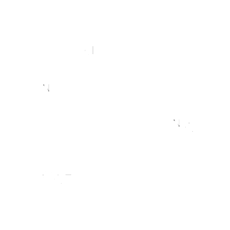 O=C(O)c1cnc(Cl)c(CC[N+](=O)[O-])c1